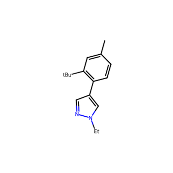 CCn1cc(-c2ccc(C)cc2C(C)(C)C)cn1